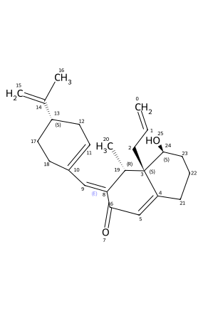 C=CC[C@@]12C(=CC(=O)/C(=C/C3=CC[C@@H](C(=C)C)CC3)[C@@H]1C)CCC[C@@H]2O